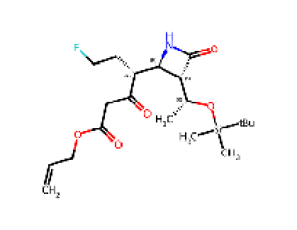 C=CCOC(=O)CC(=O)[C@H](CCF)[C@H]1NC(=O)[C@@H]1[C@@H](C)O[Si](C)(C)C(C)(C)C